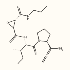 C=C=C(N)[C@@H]1CCCN1C(=O)[C@@H](NC(=O)C1O[C@@H]1C(=O)NCCC)[C@@H](C)CC